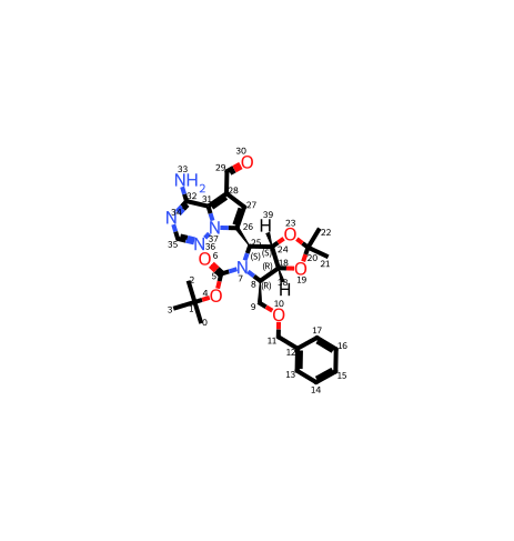 CC(C)(C)OC(=O)N1[C@H](COCc2ccccc2)[C@H]2OC(C)(C)O[C@H]2[C@@H]1c1cc(C=O)c2c(N)ncnn12